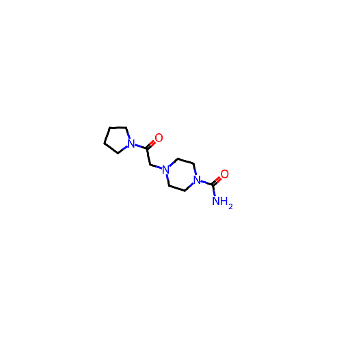 NC(=O)N1CCN(CC(=O)N2CCCC2)CC1